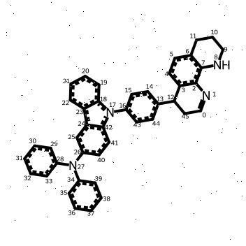 C1=Nc2c(ccc3c2NCCC3)C(c2ccc(-n3c4ccccc4c4cc(N(c5ccccc5)c5ccccc5)ccc43)cc2)C1